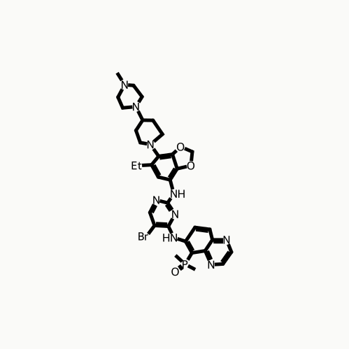 CCc1cc(Nc2ncc(Br)c(Nc3ccc4nccnc4c3P(C)(C)=O)n2)c2c(c1N1CCC(N3CCN(C)CC3)CC1)OCO2